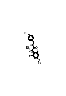 CCO[C@H](C(=O)NCc1ccc(C#N)cc1)c1c(F)cc(OC(C)C)cc1F